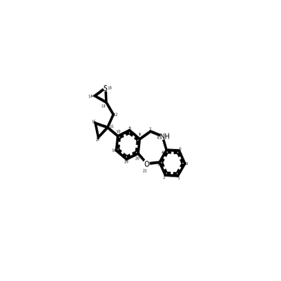 c1ccc2c(c1)NCc1cc(C3(CC4CS4)CC3)ccc1O2